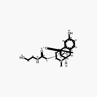 CN1CC[C@]23CC(=O)[C@@H](CC(=O)NCCO)C[C@@]2(O)[C@H]1Cc1ccc(O)cc13